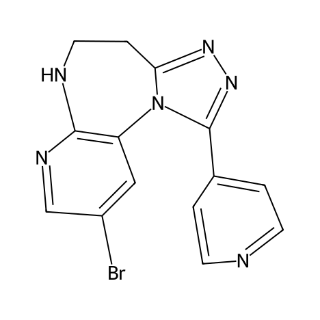 Brc1cnc2c(c1)-n1c(nnc1-c1ccncc1)CCN2